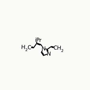 C=C/C(=C\n1ccnc1C=C)C(C)C